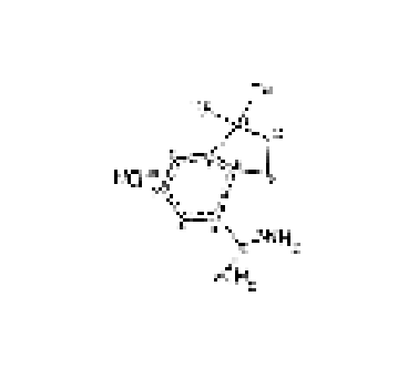 C[C@@H](N)c1cccc2c1CCC2(F)F.Cl